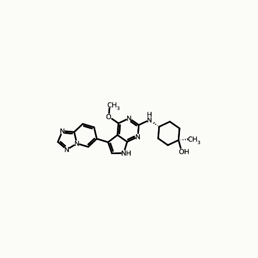 COc1nc(N[C@H]2CC[C@](C)(O)CC2)nc2[nH]cc(-c3ccc4ncnn4c3)c12